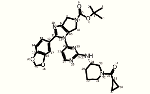 CC(C)(C)OC(=O)N1Cc2nc(-c3ccc4c(c3)OCO4)n(-c3ccnc(N[C@H]4CCCN(C(=O)C5CC5)C4)n3)c2C1